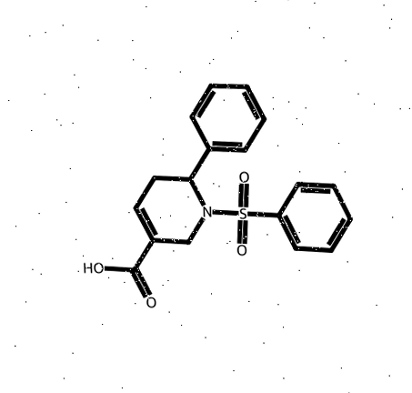 O=C(O)C1=CCC(c2ccccc2)N(S(=O)(=O)c2ccccc2)C1